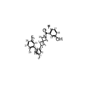 Cc1cc(C2CC3(C2)CN(C(=O)c2cc(O)ccc2F)C3)n(-c2cc(F)ccc2C)n1